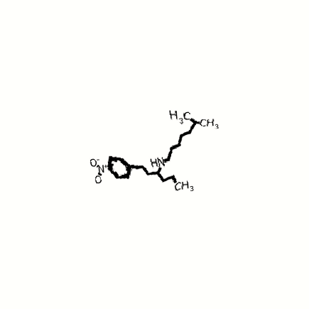 CCCC(CCc1ccc([N+](=O)[O-])cc1)NCCCCCC(C)C